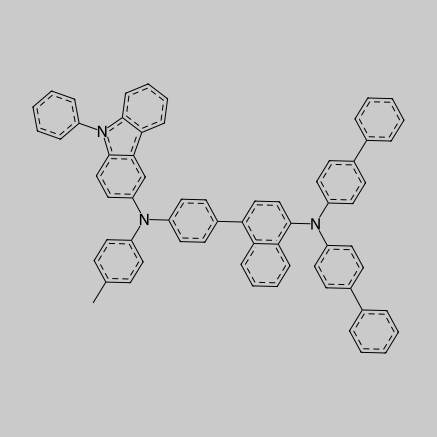 Cc1ccc(N(c2ccc(-c3ccc(N(c4ccc(-c5ccccc5)cc4)c4ccc(-c5ccccc5)cc4)c4ccccc34)cc2)c2ccc3c(c2)c2ccccc2n3-c2ccccc2)cc1